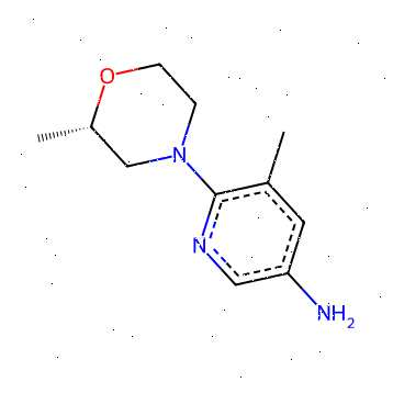 Cc1cc(N)cnc1N1CCO[C@@H](C)C1